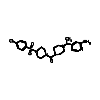 CC(c1ccnc(N)c1)N1CCC(C(=O)N2CCN(S(=O)(=O)c3ccc(Cl)cc3)CC2)CC1